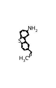 C/P=C\c1ccc2sc3ccc(N)cc3c2c1